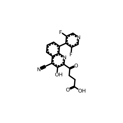 N#Cc1c(O)c(C(=O)CCC(=O)O)nc2c(-c3c(F)cncc3F)cccc12